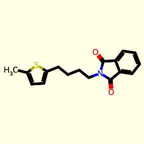 Cc1ccc(CCCCN2C(=O)c3ccccc3C2=O)s1